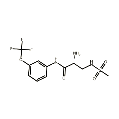 CS(=O)(=O)NC[C@@H](N)C(=O)Nc1cccc(OC(F)(F)F)c1